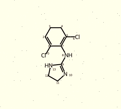 ClC1=CCCC(Cl)=C1NC1=NCCN1